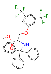 COC(=O)C(COc1cc(C(F)(F)F)cc(C(F)(F)F)c1)NC(c1ccccc1)(c1ccccc1)c1ccccc1